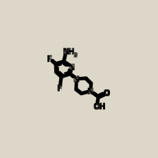 Nc1nc(N2CCN(C(=O)O)CC2)c(F)cc1F